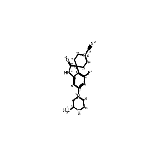 CC1CN(c2cc(F)c3c(c2)NC(=O)C32CCB(C#N)CC2)CCO1